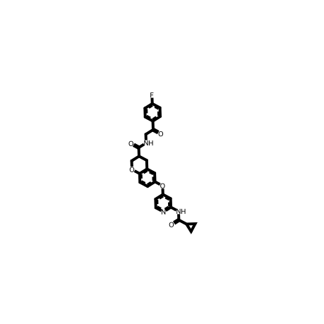 O=C(CNC(=O)C1COc2ccc(Oc3ccnc(NC(=O)C4CC4)c3)cc2C1)c1ccc(F)cc1